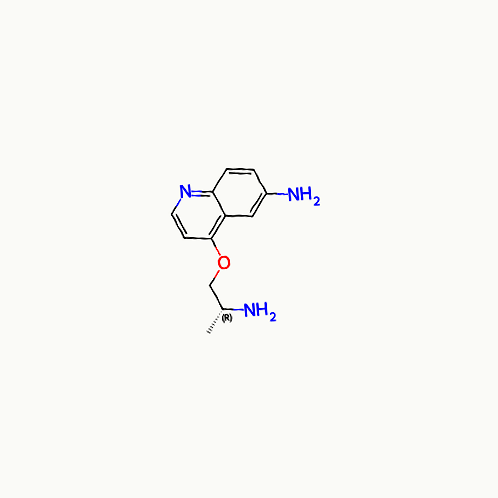 C[C@@H](N)COc1ccnc2ccc(N)cc12